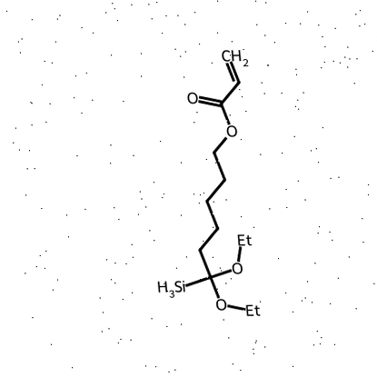 C=CC(=O)OCCCCCC([SiH3])(OCC)OCC